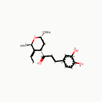 C/C=C1/[C@@H](OC)O[C@H](OC)C[C@@H]1C(=O)CCc1ccc(O)c(O)c1